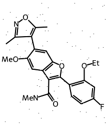 CCOc1cc(F)ccc1-c1oc2cc(-c3c(C)noc3C)c(OC)cc2c1C(=O)NC